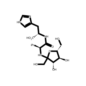 CC(C)[C@H](NC1(CO)O[C@H](CO)[C@@H](O)[C@@H]1O)C(=O)N[C@@H](Cc1c[nH]cn1)C(=O)O